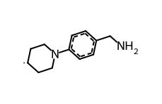 NCc1ccc(N2CC[CH]CC2)cc1